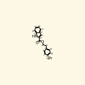 CC(C)c1ccc(CCOC(=O)c2cc3ccccc3[nH]2)cc1